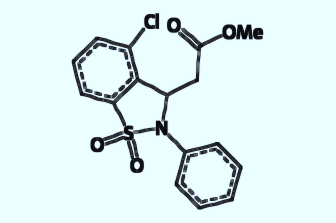 COC(=O)CC1c2c(Cl)cccc2S(=O)(=O)N1c1ccccc1